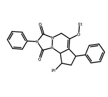 CCOC1=C2C(c3ccccc3)CC(C(C)C)C2n2c(=O)n(-c3ccccc3)c(=O)n2C1